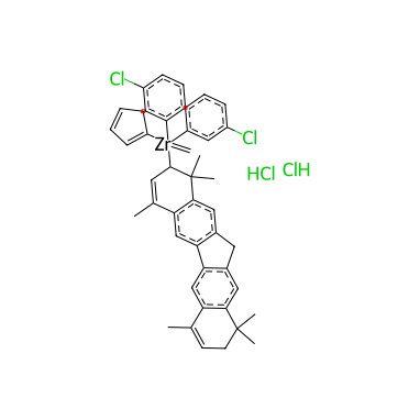 Cl.Cl.[CH2]=[Zr]([C]1=CC=CC1)([c]1cccc(Cl)c1)([c]1cccc(Cl)c1)[CH]1C=C(C)c2cc3c(cc2C1(C)C)Cc1cc2c(cc1-3)C(C)=CCC2(C)C